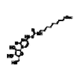 CCCCCCCCCCCCCCCCCCNC(=O)ONc1ccn([C@@H]2O[C@H](CO)[C@H](O)C2O)c(=O)n1